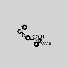 COC(=O)c1ccccc1NC(Cc1ccc(OCC2CCCN2c2ccccc2)cc1)C(=O)O